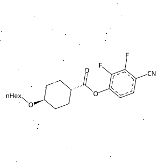 CCCCCCO[C@H]1CC[C@H](C(=O)Oc2ccc(C#N)c(F)c2F)CC1